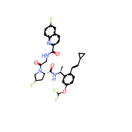 C[C@H](NC(=O)[C@@H]1C[C@@H](F)CN1C(=O)CNC(=O)c1ccc2cc(F)ccc2n1)c1cc(OC(F)F)ccc1/C=C/C1CC1